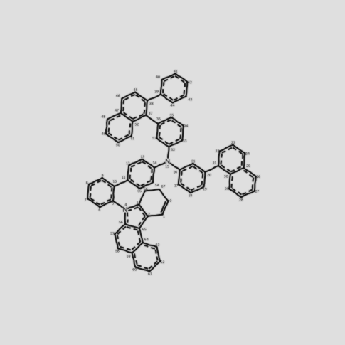 C1=Cc2c(n(-c3ccccc3-c3ccc(N(c4cccc(-c5cccc6ccccc56)c4)c4cccc(-c5c(-c6ccccc6)ccc6ccccc56)c4)cc3)c3ccc4ccccc4c23)CC1